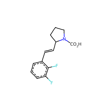 O=C(O)N1CCCC1C=Cc1cccc(F)c1F